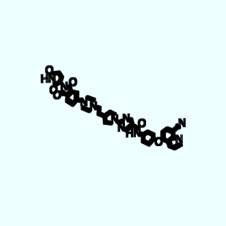 N#Cc1ccc(OC2CCC(NC(=O)c3cnc(N4CCC(CCN5CCN(c6ccc7c(c6)C(=O)N(C6CCC(=O)NC6=O)C7=O)CC5)CC4)nc3)CC2)c2cccnc12